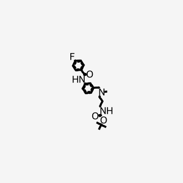 CN(CCCNC(=O)OC(C)(C)C)Cc1cccc(NC(=O)c2ccc(F)cc2)c1